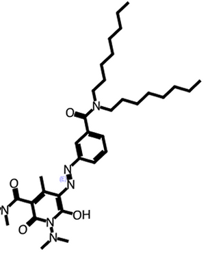 CCCCCCCCN(CCCCCCCC)C(=O)c1cccc(/N=N/c2c(C)c(C(=O)N(C)C)c(=O)n(N(C)C)c2O)c1